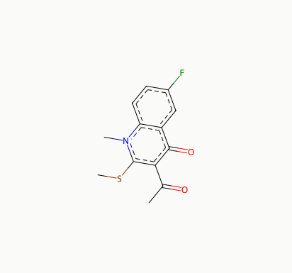 CSc1c(C(C)=O)c(=O)c2cc(F)ccc2n1C